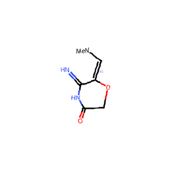 CN/C=C1/OCC(=O)NC1=N